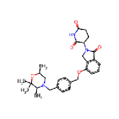 BC1CN(Cc2ccc(COc3cccc4c3CN(C3CCC(=O)NC3=O)C4=O)cc2)C(B)C(B)(B)O1